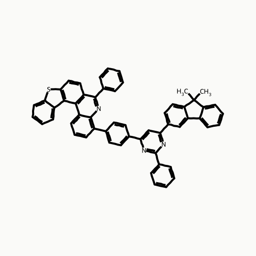 CC1(C)c2ccccc2-c2cc(-c3cc(-c4ccc(-c5cccc6c5nc(-c5ccccc5)c5ccc7sc8ccccc8c7c56)cc4)nc(-c4ccccc4)n3)ccc21